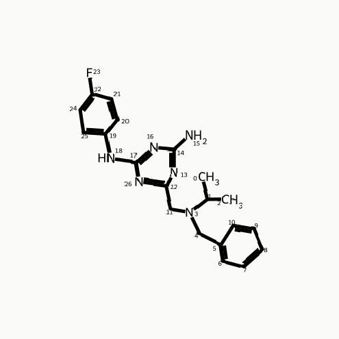 CC(C)N(Cc1ccccc1)Cc1nc(N)nc(Nc2ccc(F)cc2)n1